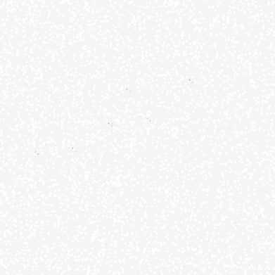 COC[C@H]1COc2ccc(OC)nc2-c2nnc(NS(=O)(=O)C(C)C(C)c3ncc(OC)cn3)n21